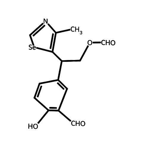 Cc1nc[se]c1C(COC=O)c1ccc(O)c(C=O)c1